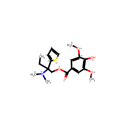 CCC(COC(=O)c1cc(OC)c(O)c(OC)c1)(c1cccs1)N(C)C